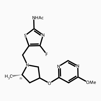 COc1cc(OC2C[C@H](C)N(Cc3sc(NC(C)=O)nc3F)C2)ncn1